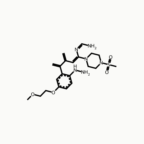 C=C(/C=C(\N=C/N)N1CCN(S(C)(=O)=O)CC1)C(=C)c1cc(OCCOC)ccc1NN